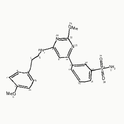 COc1ccc(CCNc2cc(-c3cccc(S(N)(=O)=O)c3)nc(OC)n2)cc1